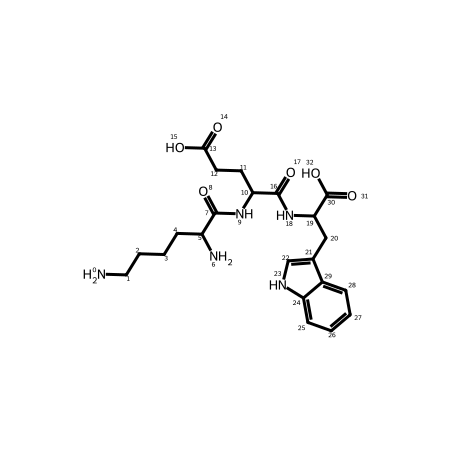 NCCCCC(N)C(=O)NC(CCC(=O)O)C(=O)NC(Cc1c[nH]c2ccccc12)C(=O)O